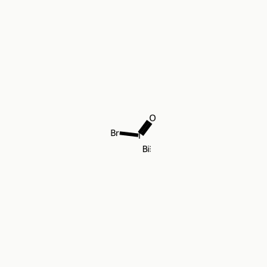 O=IBr.[Bi]